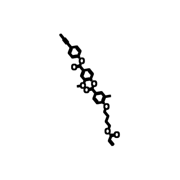 C=CC(=O)OCCCCOc1ccc(C(=O)Oc2ccc(C(=O)Oc3ccc(C#CC)cc3)cc2OC)cc1C